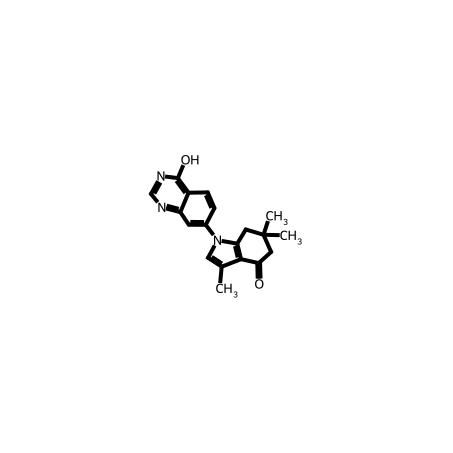 Cc1cn(-c2ccc3c(O)ncnc3c2)c2c1C(=O)CC(C)(C)C2